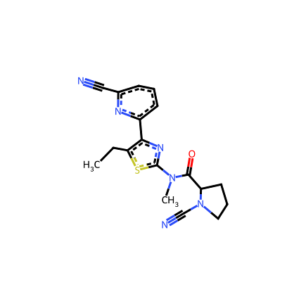 CCc1sc(N(C)C(=O)C2CCCN2C#N)nc1-c1cccc(C#N)n1